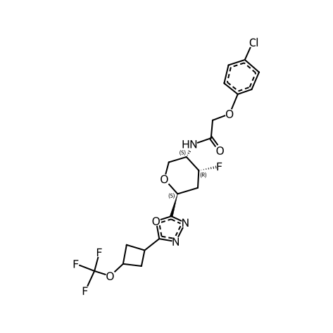 O=C(COc1ccc(Cl)cc1)N[C@H]1CO[C@H](c2nnc(C3CC(OC(F)(F)F)C3)o2)C[C@H]1F